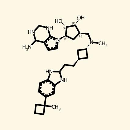 CN(C[C@H]1C[C@@H](n2ccc3c2NCNC3N)[C@H](O)[C@@H]1O)[C@H]1C[C@H](CCC2Nc3ccc(C4(C)CCC4)cc3N2)C1